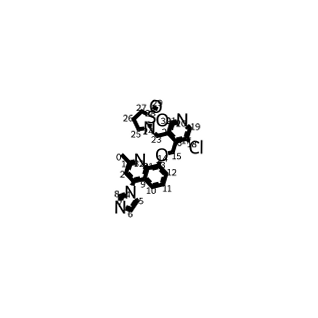 Cc1cc(-n2ccnc2)c2cccc(OCc3c(Cl)cncc3CN3CCCS3(=O)=O)c2n1